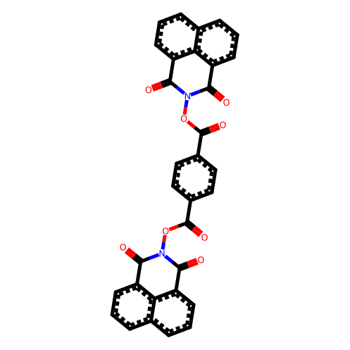 O=C(ON1C(=O)c2cccc3cccc(c23)C1=O)c1ccc(C(=O)ON2C(=O)c3cccc4cccc(c34)C2=O)cc1